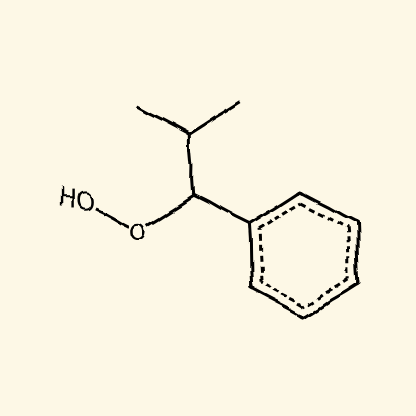 CC(C)C(OO)c1ccccc1